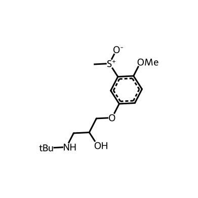 COc1ccc(OCC(O)CNC(C)(C)C)cc1[S+](C)[O-]